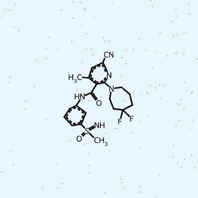 Cc1cc(C#N)nc(N2CCCC(F)(F)CC2)c1C(=O)Nc1cccc(S(C)(=N)=O)c1